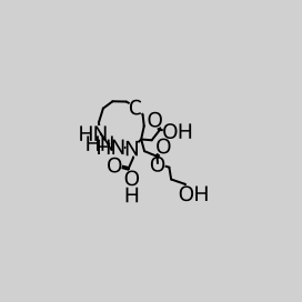 O=C(O)CN1NNNCCCCCCCC1(CC(=O)O)CC(=O)OCCCO